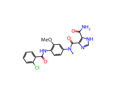 COc1cc(N(C)C(=O)c2nc[nH]c2C(N)=O)ccc1NC(=O)c1ccccc1Cl